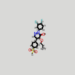 CC(C)CCOc1c(-c2ccc(S(C)(=O)=O)cc2)cnn(-c2ccc(F)c(F)c2)c1=O